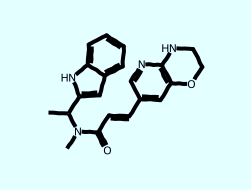 CC(c1cc2ccccc2[nH]1)N(C)C(=O)/C=C/c1cnc2c(c1)OCCN2